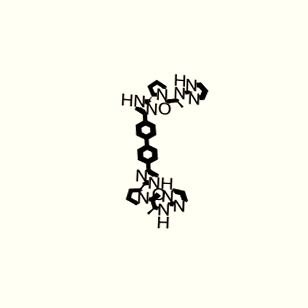 C[C@H](Nc1ncccn1)C(=O)N1CCC[C@H]1c1nc(-c2ccc(-c3ccc(-c4c[nH]c([C@@H]5CCCN5C(=O)[C@H](C)Nc5ncccn5)n4)cc3)cc2)c[nH]1